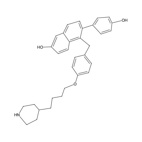 Oc1ccc(-c2ccc3cc(O)ccc3c2Cc2ccc(OCCCCC3CCNCC3)cc2)cc1